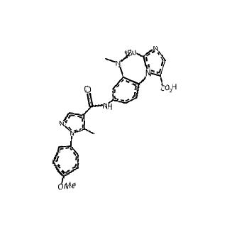 COc1ccc(-n2ncc(C(=O)Nc3ccc(-n4c(C(=O)O)cnc4C(C)(C)C)c(N(C)C)c3)c2C)cc1